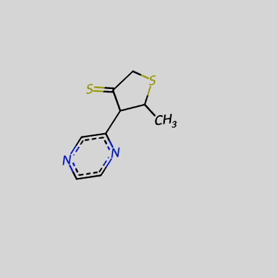 CC1SCC(=S)C1c1cnccn1